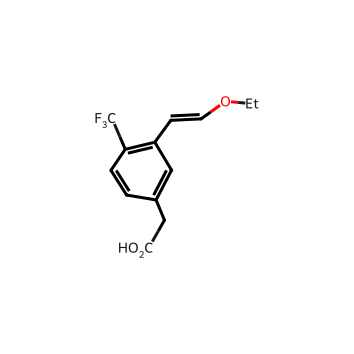 CCO/C=C/c1cc(CC(=O)O)ccc1C(F)(F)F